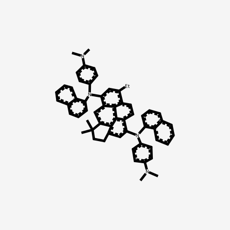 CCc1cc(N(c2ccc(N(C)C)cc2)c2cccc3ccccc23)c2cc3c4c(cc(N(c5ccc(N(C)C)cc5)c5cccc6ccccc56)c5ccc1c2c54)CCC3(C)C